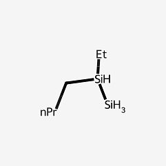 CCCC[SiH]([SiH3])CC